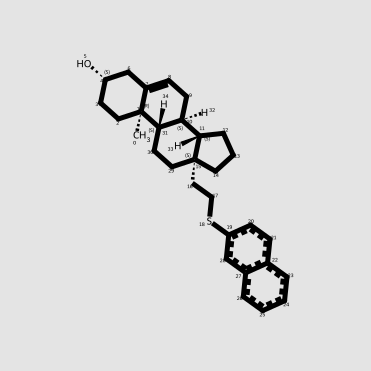 C[C@]12CC[C@H](O)CC1=CC[C@H]1[C@@H]3CCC[C@@]3(CCSc3ccc4ccccc4c3)CC[C@@H]12